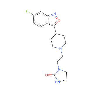 O=C1NCCN1CCN1CCC(c2onc3cc(F)ccc23)CC1